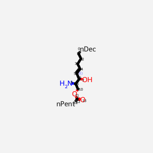 CCCCCCCCCCCCC/C=C/C(O)C(N)COC(=O)CCCCC